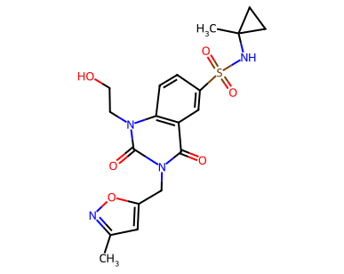 Cc1cc(Cn2c(=O)c3cc(S(=O)(=O)NC4(C)CC4)ccc3n(CCO)c2=O)on1